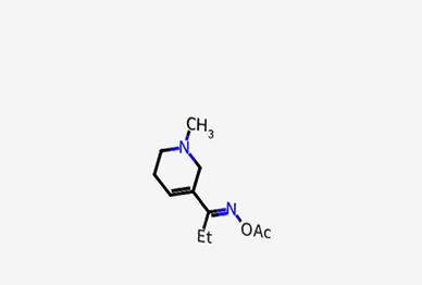 CCC(=NOC(C)=O)C1=CCCN(C)C1